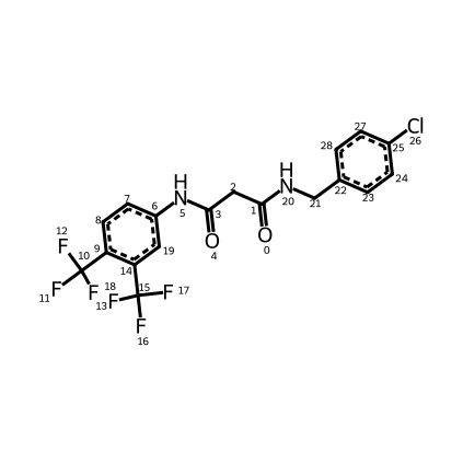 O=C(CC(=O)Nc1ccc(C(F)(F)F)c(C(F)(F)F)c1)NCc1ccc(Cl)cc1